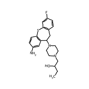 CCC(O)CN1CCN(C2Cc3ccc(F)cc3Sc3ccc(N)cc32)CC1